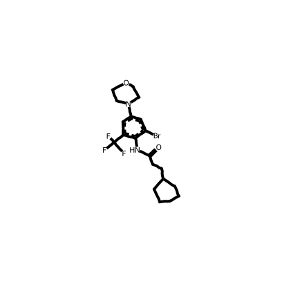 O=C(CCC1CCCCC1)Nc1c(Br)cc(N2CCOCC2)cc1C(F)(F)F